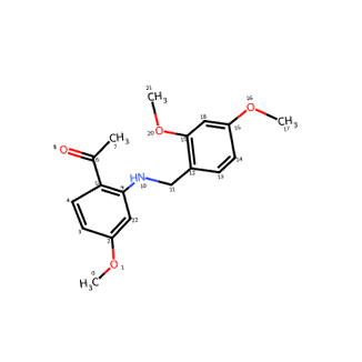 COc1ccc(C(C)=O)c(NCc2ccc(OC)cc2OC)c1